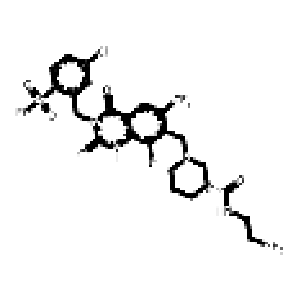 CCS(=O)(=O)c1ccc(Cl)cc1Cn1c(=O)[nH]c2c(Cl)c(CN3CCC[C@@H](C(=O)NCCN)C3)c(C(F)(F)F)cc2c1=O